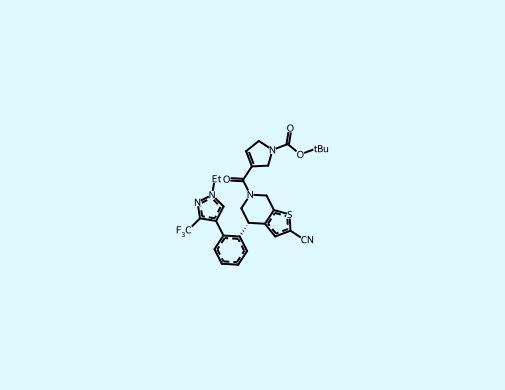 CCn1cc(-c2ccccc2[C@@H]2CN(C(=O)C3=CCN(C(=O)OC(C)(C)C)C3)Cc3sc(C#N)cc32)c(C(F)(F)F)n1